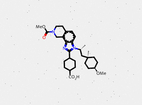 COC(=O)N1CCc2ccc3c(nc(C4CCC(C(=O)O)CC4)n3[C@H](C)C[C@]3(C)CC[C@H](OC)CC3)c2C1